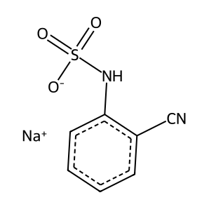 N#Cc1ccccc1NS(=O)(=O)[O-].[Na+]